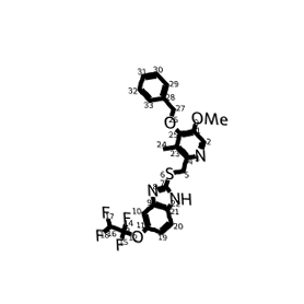 COc1cnc(CSc2nc3cc(OC(F)(F)C(F)F)ccc3[nH]2)c(C)c1OCc1ccccc1